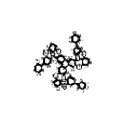 c1ccc(-c2ccc3c(c2)Oc2cccc4c2B3c2cc3c(cc2O4)c2cc4c(cc2c2cc5c(cc32)Oc2cccc3c2B5c2ccc(-c5ccccc5)cc2O3)Oc2cccc3c2B4c2ccc(-c4ccccc4)cc2O3)cc1